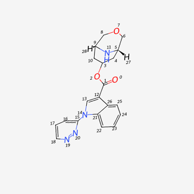 O=C(OC1C[C@H]2COC[C@@H](C1)N2)c1cn(-c2cccnn2)c2ccccc12